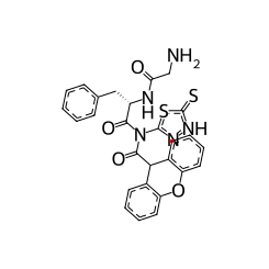 NCC(=O)N[C@@H](Cc1ccccc1)C(=O)N(C(=O)C1c2ccccc2Oc2ccccc21)c1n[nH]c(=S)s1